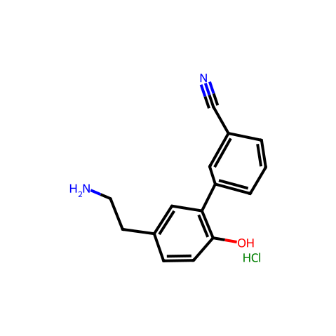 Cl.N#Cc1cccc(-c2cc(CCN)ccc2O)c1